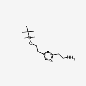 CC(C)(C)[Si](C)(C)OCCc1csc(CCN)c1